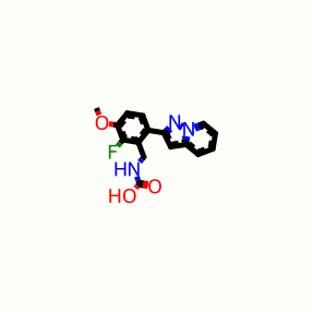 COc1ccc(-c2cc3ccccn3n2)c(CNC(=O)O)c1F